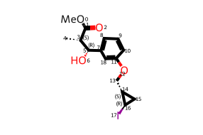 COC(=O)[C@@H](C)[C@@H](O)c1cccc(OC[C@@H]2C[C@H]2I)c1